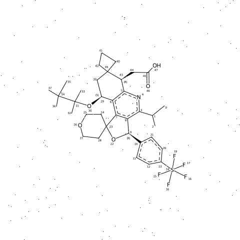 CC(C)c1nc2c(c3c1[C@@H](c1ccc(S(F)(F)(F)(F)F)cc1)OC31CCOCC1)[C@@H](OC(C)(C)C(C)(C)C)CC1(CCC1)[C@H]2CC(=O)O